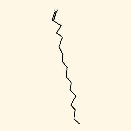 CCCCCCCCCCCCSCC[C]=O